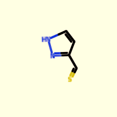 S=Cc1cc[nH]n1